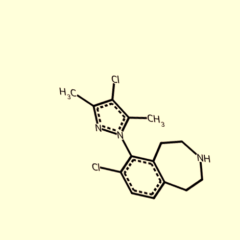 Cc1nn(-c2c(Cl)ccc3c2CCNCC3)c(C)c1Cl